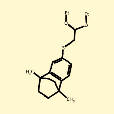 CCOC(CSc1ccc2c(c1)C1(C)CCC2(C)CC1)OCC